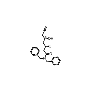 N#CC[C@@H](O)CC(=O)CC(=O)N(Cc1ccccc1)Cc1ccccc1